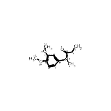 CCC(=O)N(C)c1ccc(OC)c(OC)c1